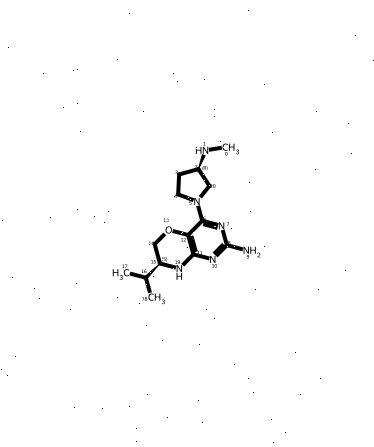 CN[C@@H]1CCN(c2nc(N)nc3c2OC[C@H](C(C)C)N3)C1